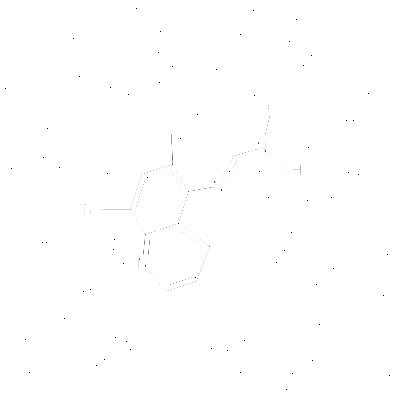 CN(C)/C=N/c1c(I)cc(Br)c2ncccc12